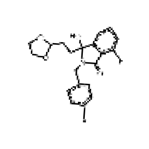 O=C1c2c(F)cccc2C(O)(CCC2OCCO2)N1Cc1ccc(F)cc1